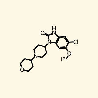 CC(C)Oc1cc2c(cc1Cl)[nH]c(=O)n2C1CCN(C2CCOCC2)CC1